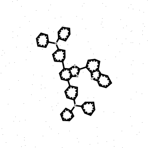 c1ccc(N(c2ccccc2)c2ccc(-c3ccc(-c4ccc(N(c5ccccc5)c5ccccc5)cc4)c4sc(-c5cccc6c5oc5ccccc56)nc34)cc2)cc1